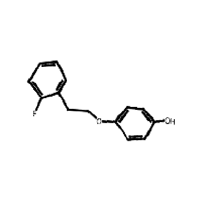 Oc1ccc(OCCc2ccccc2F)cc1